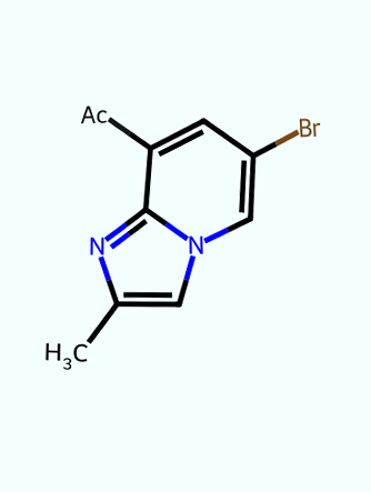 CC(=O)c1cc(Br)cn2cc(C)nc12